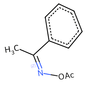 CC(=O)O/N=C(/C)c1ccccc1